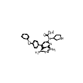 Nc1n[nH]c2nc(N(C(=O)O)C3CCNC3)cc(-c3ccc(Oc4ccccc4)cc3)c12